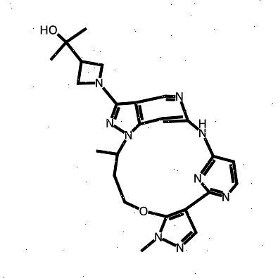 CC1CCOc2c(cnn2C)-c2nccc(n2)Nc2cc3c(cn2)c(N2CC(C(C)(C)O)C2)nn31